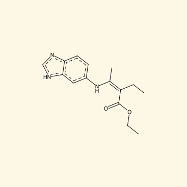 CCOC(=O)C(CC)=C(C)Nc1ccc2nc[nH]c2c1